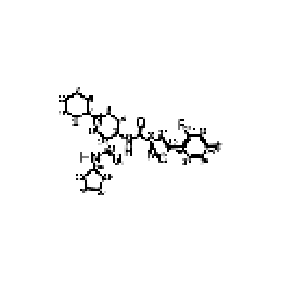 O=C(N[C@@H]1CCN(C2CCCCC2)C[C@H]1C(=O)NC1CCCC1)c1cc(-c2ccc(F)cc2F)on1